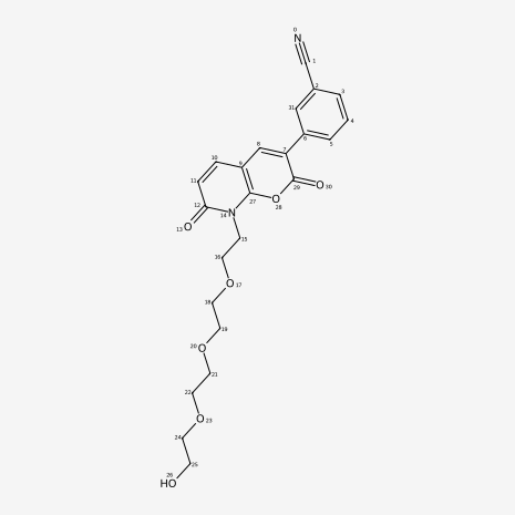 N#Cc1cccc(-c2cc3ccc(=O)n(CCOCCOCCOCCO)c3oc2=O)c1